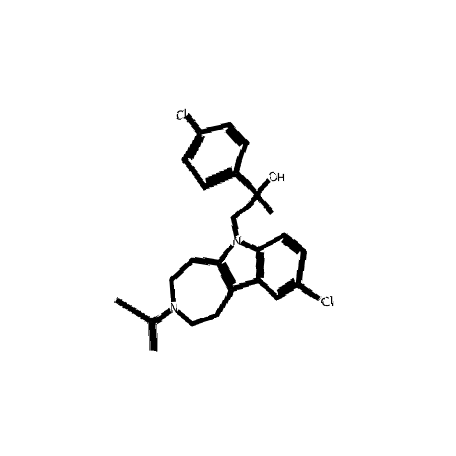 CC(C)N1CCc2c(n(CC(C)(O)c3ccc(Cl)cc3)c3ccc(Cl)cc23)CC1